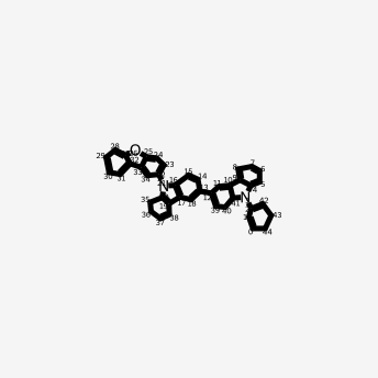 C1=CC(N2c3ccccc3C3=CC(c4ccc5c(c4)c4c(n5-c5ccc6oc7ccccc7c6c5)CCC=C4)=CCC32)=CCC1